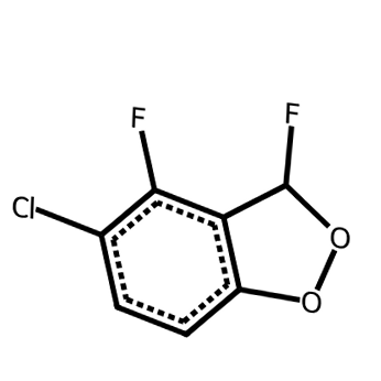 Fc1c(Cl)ccc2c1C(F)OO2